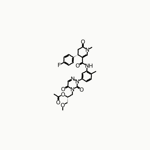 COC[C@@H](Cn1c(=O)cnn(-c2ccc(C)c(NC(=O)C3=CN(C)C(=O)C[C@H]3c3ccc(F)cc3)c2)c1=O)OC(C)=O